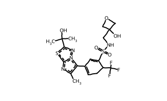 Cc1nc2sc(C(C)(C)O)nn2c1C1=CCC(C(F)(F)F)C(S(=O)(=O)NCC2(O)COC2)=C1